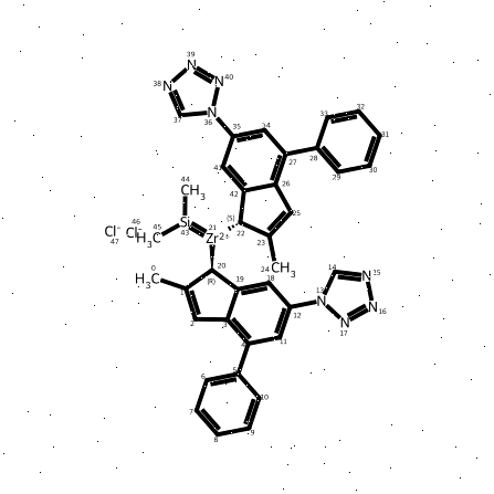 CC1=Cc2c(-c3ccccc3)cc(-n3cnnn3)cc2[C@@H]1[Zr+2]([C@H]1C(C)=Cc2c(-c3ccccc3)cc(-n3cnnn3)cc21)=[Si](C)C.[Cl-].[Cl-]